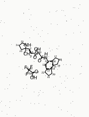 CC1(/C=C/S(=O)(=O)NC(=O)Nc2cc3c(c4c2CCC4)CCC3)CCCN1.O=C(O)C(F)(F)F